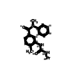 Cc1ccc(C(=O)N(C)c2cccnc2)cc1NC(=O)NC(C)C